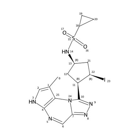 Cc1c[nH]c2ncc3nnc([C@H]4C[C@@H](NS(=O)(=O)C5CC5)C[C@H]4I)n3c12